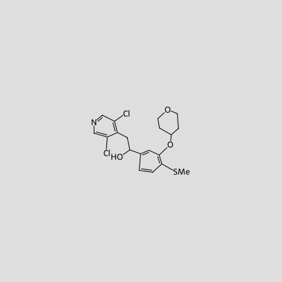 CSc1ccc(C(O)Cc2c(Cl)cncc2Cl)cc1OC1CCOCC1